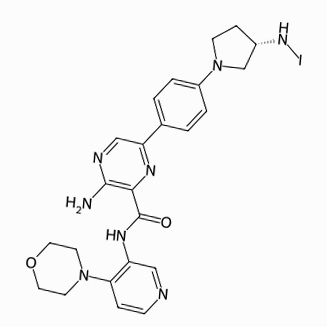 Nc1ncc(-c2ccc(N3CC[C@H](NI)C3)cc2)nc1C(=O)Nc1cnccc1N1CCOCC1